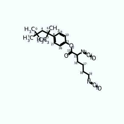 CC(C)(C)CC(C)(C)c1ccc(OC(=O)C(CCCCN=C=O)N=C=O)cc1